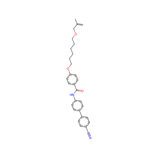 C=C(C)COCCCCCCOc1ccc(C(=O)Nc2ccc(-c3ccc(C#N)cc3)cc2)cc1